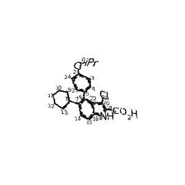 CC(C)Oc1ccc(-c2c(C3CCCCC3)ccc3[nH]c(C(=O)O)c(Cl)c23)cc1